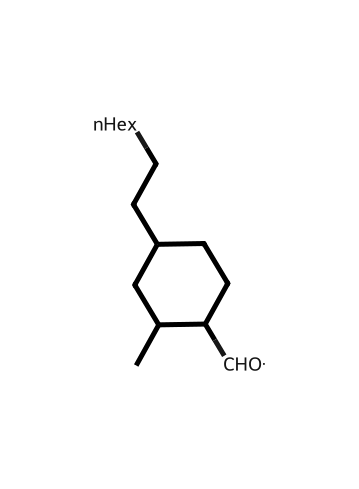 CCCCCCCCC1CCC([C]=O)C(C)C1